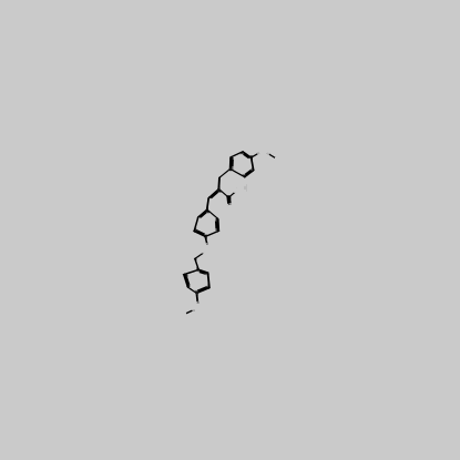 COc1ccc(COc2ccc(C=C(Cc3ccc(OC)cc3)C(=O)O)cc2)cc1